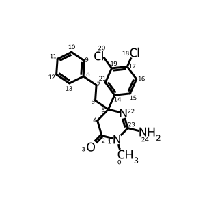 CN1C(=O)CC(CCc2ccccc2)(c2ccc(Cl)c(Cl)c2)N=C1N